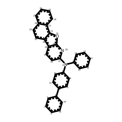 c1ccc(-c2ccc(N(c3ccccc3)c3ccc4c(n3)oc3c5ccccc5ccc43)cc2)cc1